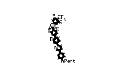 CCCCCC1CCC(c2ccc(-c3ccc(-c4cc(F)c(C(F)(F)Oc5cc(F)c(C(F)(F)F)c(F)c5)c(F)c4)c(F)c3)nc2)CC1